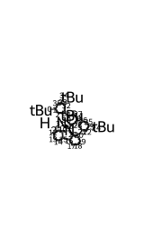 CC(C)(C)c1cc(-c2cccc(-n3c4ccccc4c4cccc(-c5cc(C(C)(C)C)cc(C(C)(C)C)c5)c43)c2N)cc(C(C)(C)C)c1